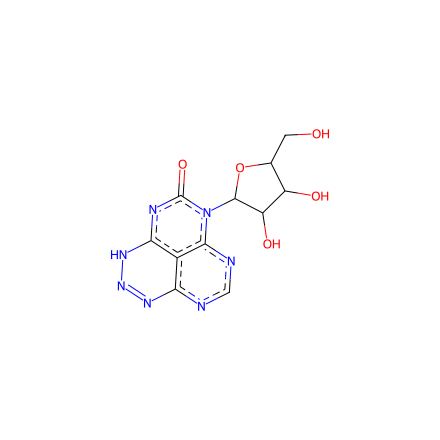 O=c1nc2c3c(ncnc3n1C1OC(CO)C(O)C1O)N=NN2